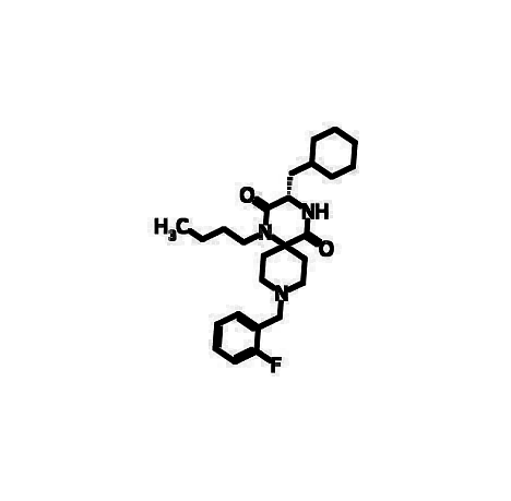 CCCCN1C(=O)[C@H](CC2CCCCC2)NC(=O)C12CCN(Cc1ccccc1F)CC2